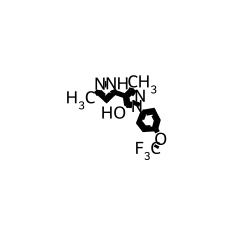 Cc1cc(-c2c(C)nn(-c3ccc(OC(F)(F)F)cc3)c2O)[nH]n1